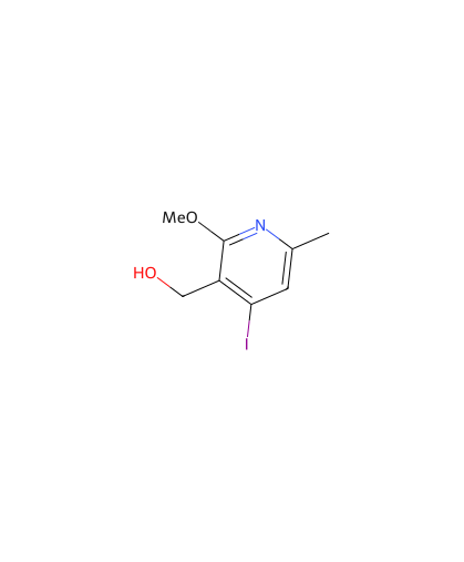 COc1nc(C)cc(I)c1CO